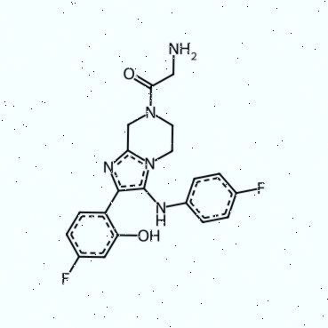 NCC(=O)N1CCn2c(nc(-c3ccc(F)cc3O)c2Nc2ccc(F)cc2)C1